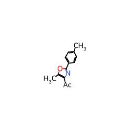 CC(=O)c1nc(-c2ccc(C)cc2)oc1C